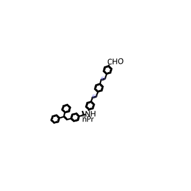 CCC[C@](C)(Nc1ccc(/C=C/c2ccc(/C=C/c3ccc(C=O)cc3)cc2)cc1)c1ccc(C=C(c2ccccc2)c2ccccc2)cc1